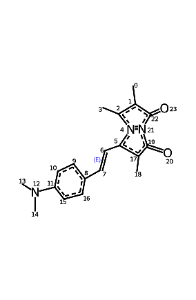 Cc1c(C)n2c(/C=C/c3ccc(N(C)C)cc3)c(C)c(=O)n2c1=O